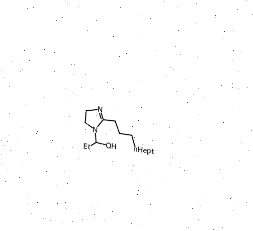 CCCCCCCCCCC1=NCCN1C(O)CC